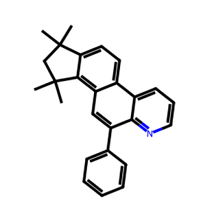 CC1(C)CC(C)(C)c2c1ccc1c2cc(-c2ccccc2)c2ncccc21